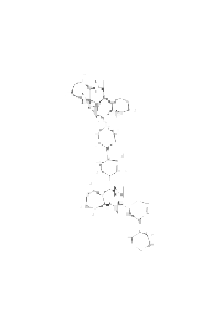 c1ccc(-c2cccc(-c3nc(-c4ccc(-c5ccc(-c6nc7c(nc8ccccn87)c7ccccc67)cc5)cc4)c4ccccc4n3)c2)cc1